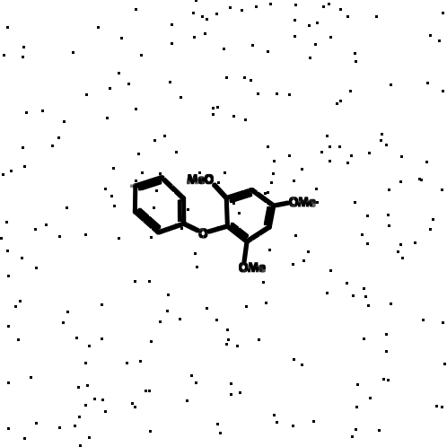 COc1cc(OC)c(Oc2cc[c]cc2)c(OC)c1